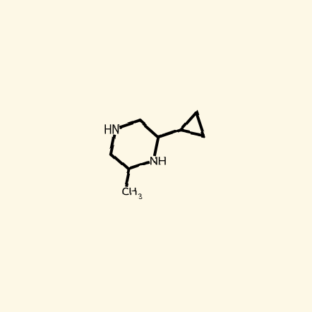 CC1CNCC(C2CC2)N1